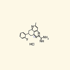 Cc1cc(C)c2c(n1)CC(c1ccccc1F)C/C2=N/NC(=N)N.Cl